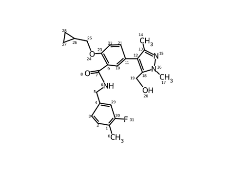 Cc1ccc(CNC(=O)c2cc(-c3c(C)nn(C)c3CO)ccc2OCC2CC2)cc1F